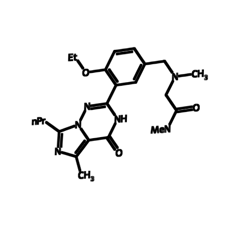 CCCc1nc(C)c2c(=O)[nH]c(-c3cc(CN(C)CC(=O)NC)ccc3OCC)nn12